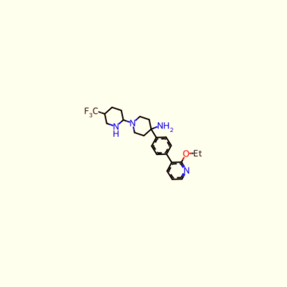 CCOc1ncccc1-c1ccc(C2(N)CCN(C3CCC(C(F)(F)F)CN3)CC2)cc1